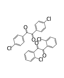 O=C(C(=O)c1ccc(Cl)cc1)c1ccc(Cl)cc1.O=C(C(=O)c1ccccc1Cl)c1ccccc1Cl